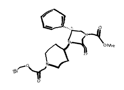 COC(=O)N1C[C@@H](c2ccccc2)N(C2CCN(C(=O)OC(C)(C)C)CC2)C1=O